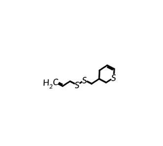 C=CCSSCC1CC=CSC1